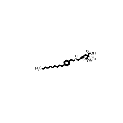 CCCCCCCCCCc1ccc(CCNCC#CCC(C)(C(=O)O)C(=O)O)cc1